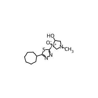 CN1CC(O)[N+]([O-])(c2nnc(C3CCCCCC3)s2)C1